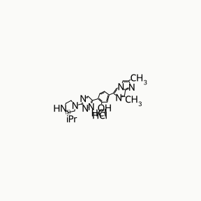 Cc1cn2cc(-c3ccc(-c4cnc(N5CCN[C@@H](C(C)C)C5)nn4)c(O)c3)nc(C)c2n1.Cl.Cl